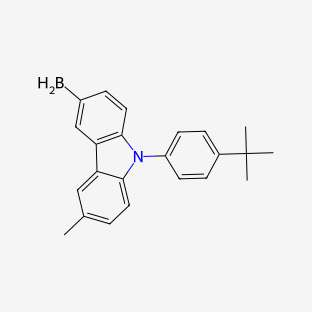 Bc1ccc2c(c1)c1cc(C)ccc1n2-c1ccc(C(C)(C)C)cc1